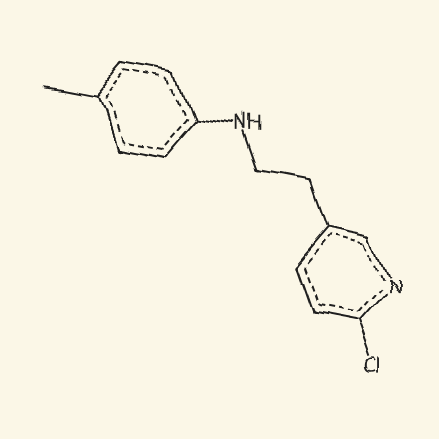 Cc1ccc(NCCc2ccc(Cl)nc2)cc1